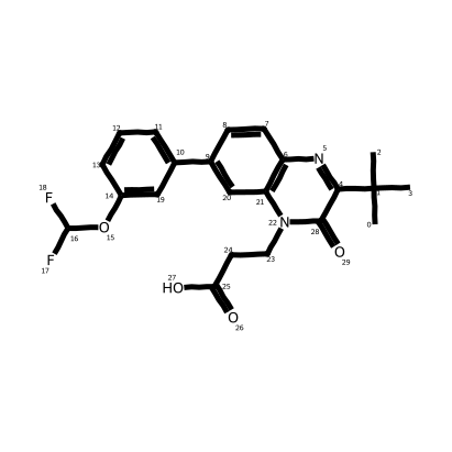 CC(C)(C)c1nc2ccc(-c3cccc(OC(F)F)c3)cc2n(CCC(=O)O)c1=O